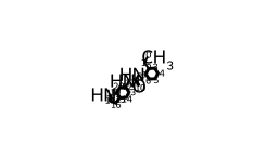 CCc1ccccc1NC(=O)Nc1ccc2cc[nH]c2c1